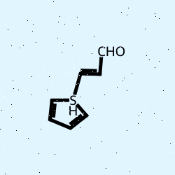 O=C/C=C/[SH]1C=CC=C1